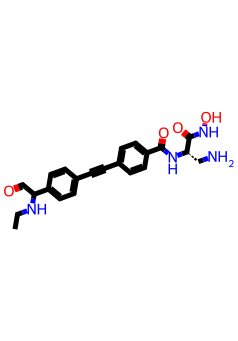 CCNC(C=O)c1ccc(C#Cc2ccc(C(=O)N[C@@H](CN)C(=O)NO)cc2)cc1